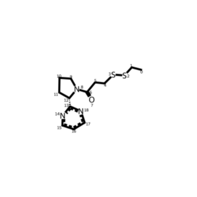 CCSSCCC(=O)N1CCC[C@H]1c1ncccn1